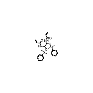 C=CC(=O)NC(O[Si](C)(C)c1ccccc1)C(NC(=O)C=C)O[Si](C)(C)c1ccccc1